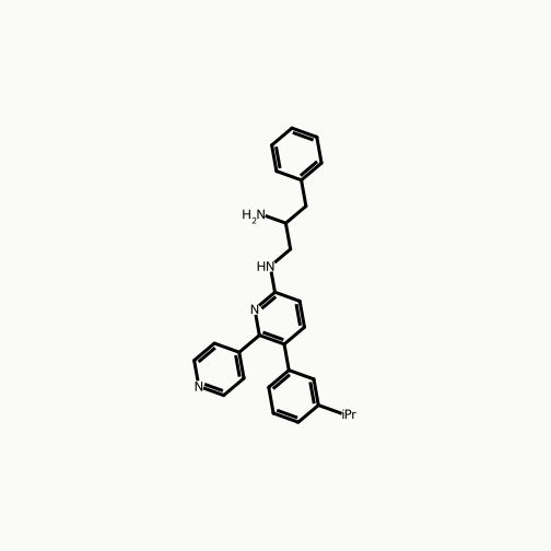 CC(C)c1cccc(-c2ccc(NCC(N)Cc3ccccc3)nc2-c2ccncc2)c1